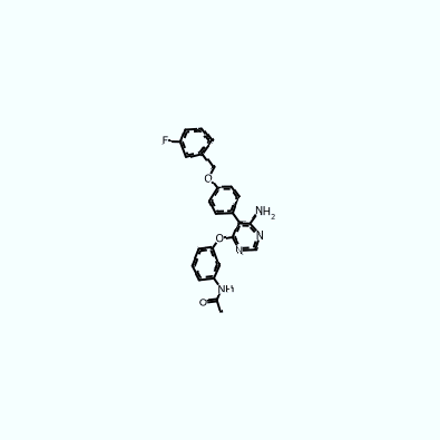 CC(=O)Nc1cccc(Oc2ncnc(N)c2-c2ccc(OCc3cccc(F)c3)cc2)c1